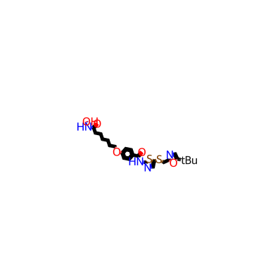 CC(C)(C)c1cnc(CSc2cnc(NC(=O)c3ccc(OCCCCCCC(=O)NO)cc3)s2)o1